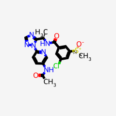 CC(=O)Nc1ccc(-n2ncnc2[C@H](C)NC(=O)c2cc(Cl)cc([S@@+](C)[O-])c2)nc1